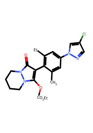 CCOC(=O)Oc1c(-c2c(C)cc(-n3cc(Cl)cn3)cc2CC)c(=O)n2n1CCCC2